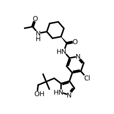 CC(=O)NC1CCC[C@@H](C(=O)Nc2cc(-c3cn[nH]c3CC(C)(C)CO)c(Cl)cn2)C1